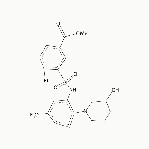 CCc1ccc(C(=O)OC)cc1S(=O)(=O)Nc1cc(C(F)(F)F)ccc1N1CCCC(O)C1